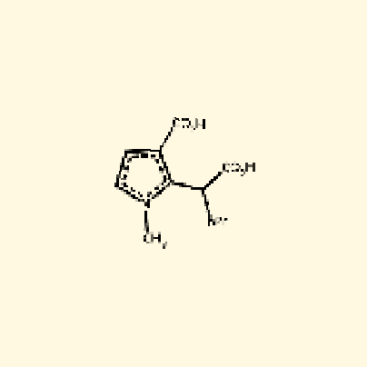 CCCC(C(=O)O)c1c(C(=O)O)ccn1C